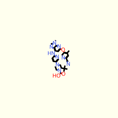 Cc1cc(C#N)ncc1Oc1cc(Nc2ccc(N3CCN(C(=O)O)C(C(C)(C)C)C3)cn2)c2ncn(C)c2n1